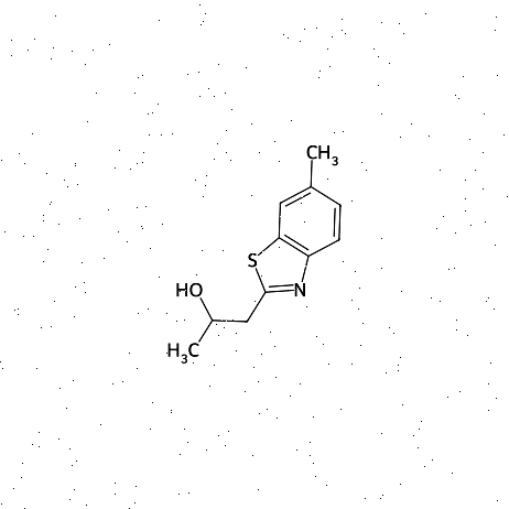 Cc1ccc2nc(CC(C)O)sc2c1